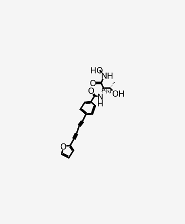 C[C@H](O)[C@H](NC(=O)c1ccc(C#CC#Cc2ccco2)cc1)C(=O)NO